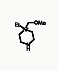 CC[N+]1(COC)CCNCC1